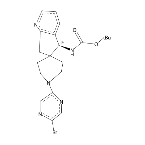 CC(C)(C)OC(=O)N[C@@H]1c2cccnc2CC12CCN(c1cnc(Br)cn1)CC2